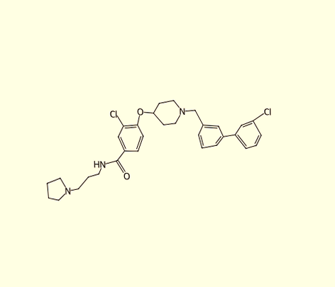 O=C(NCCCN1CCCC1)c1ccc(OC2CCN(Cc3cccc(-c4cccc(Cl)c4)c3)CC2)c(Cl)c1